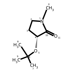 CN1CC[C@@H](OC(C)(C)C)C1=O